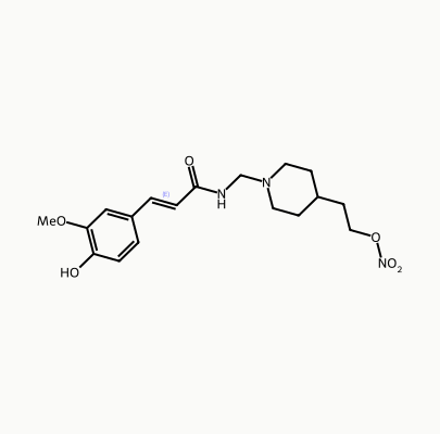 COc1cc(/C=C/C(=O)NCN2CCC(CCO[N+](=O)[O-])CC2)ccc1O